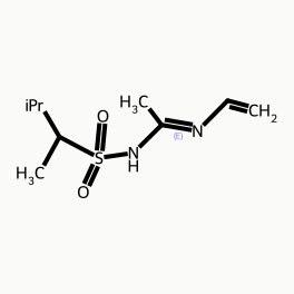 C=C/N=C(\C)NS(=O)(=O)C(C)C(C)C